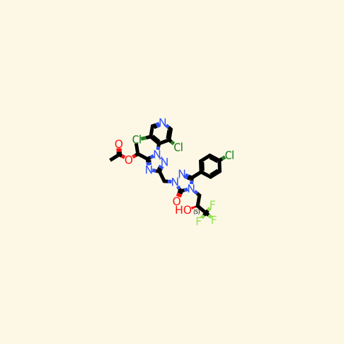 CC(=O)OC(C)c1nc(Cn2nc(-c3ccc(Cl)cc3)n(C[C@H](O)C(F)(F)F)c2=O)nn1-c1c(Cl)cncc1Cl